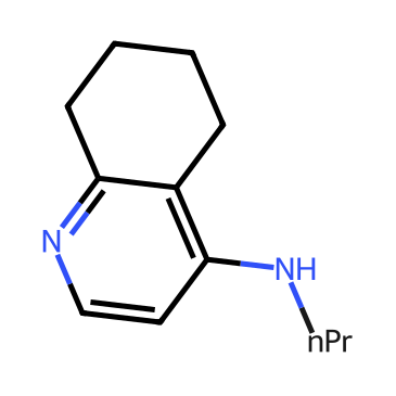 CCCNc1ccnc2c1CCCC2